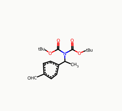 CC(c1ccc(C=O)cc1)N(C(=O)OC(C)(C)C)C(=O)OC(C)(C)C